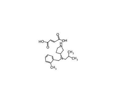 Cc1ccccc1CN(CC(C)C)[C@H]1CCNC1.O=C(O)/C=C/C(=O)O